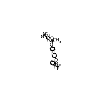 C[C@]1(COc2ccc(N3CCC(Oc4ccccc4OC(F)(F)F)CC3)cc2)Cn2cc([N+](=O)[O-])nc2O1